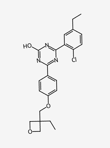 CCc1ccc(Cl)c(-c2nc(O)nc(-c3ccc(OCC4(CC)COC4)cc3)n2)c1